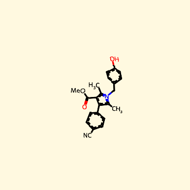 COC(=O)c1c(-c2ccc(C#N)cc2)c(C)n(Cc2ccc(O)cc2)c1C